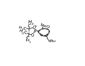 COc1ccc(C(C)(C)C)cc1B1OC(C)(C)C(C)(C)O1